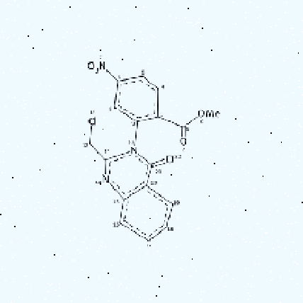 COC(=O)c1ccc([N+](=O)[O-])cc1-n1c(CCl)nc2ccccc2c1=O